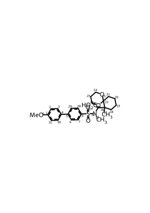 COc1ccc(-c2ccc(S(=O)(=O)N(C)C(C(=O)O)C3(C)CCCCC34OCCCO4)cc2)cc1